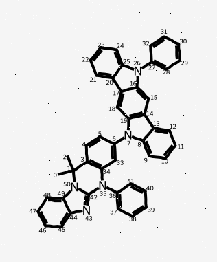 CC1(C)c2ccc(-n3c4ccccc4c4cc5c(cc43)c3ccccc3n5-c3ccccc3)cc2N(c2ccccc2)c2nc3ccccc3n21